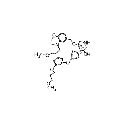 COCCCOc1cccc(Oc2ccc([C@H]3[C@H](O)CNC[C@@H]3OCc3ccc4c(c3)N(CCCOC)CCO4)cc2)c1